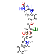 Cl.Cl.O=c1[nH]c2cc3cc(OCCCS(=O)(=O)C4CCN(Cc5ccccc5)CC4)ccc3nc2[nH]1